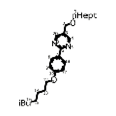 CCCCCCCOCc1cnc(-c2ccc(OCCCCC(C)CC)cc2)nc1